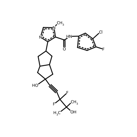 Cn1cnc(C2CC3CC(O)(C#CC(F)(F)C(C)(C)O)CC3C2)c1C(=O)Nc1ccc(F)c(Cl)c1